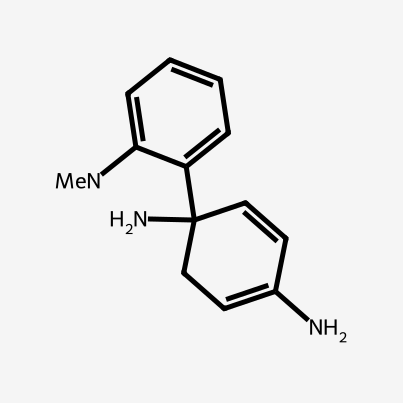 CNc1ccccc1C1(N)C=CC(N)=CC1